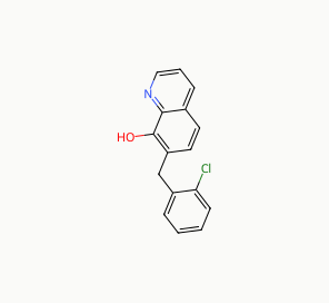 Oc1c(Cc2ccccc2Cl)ccc2cccnc12